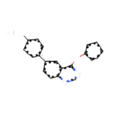 O=Cc1ccc(-c2ccc3ncnc(Oc4ccccc4)c3c2)cc1